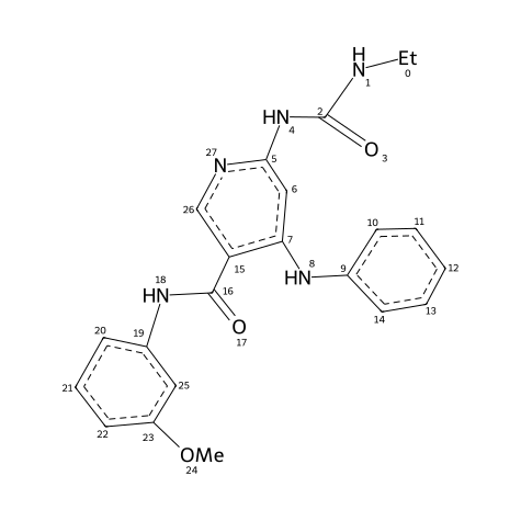 CCNC(=O)Nc1cc(Nc2ccccc2)c(C(=O)Nc2cccc(OC)c2)cn1